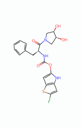 O=C(N[C@@H](Cc1ccccc1)C(=O)N1C[C@@H](O)[C@@H](O)C1)Oc1cc2sc(F)cc2[nH]1